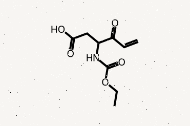 C=CC(=O)C(CC(=O)O)NC(=O)OCC